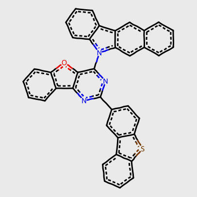 c1ccc2cc3c(cc2c1)c1ccccc1n3-c1nc(-c2ccc3sc4ccccc4c3c2)nc2c1oc1ccccc12